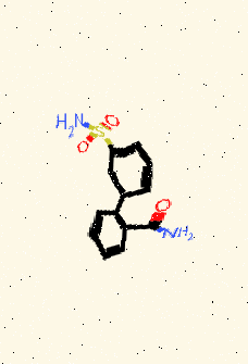 NC(=O)c1[c]cccc1-c1cccc(S(N)(=O)=O)c1